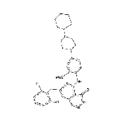 COc1cc(N2CCN(C3CCCCC3)CC2)ccc1Nc1nc(Cc2c(Cl)cccc2Cl)cc2cn[nH]c(=O)c12